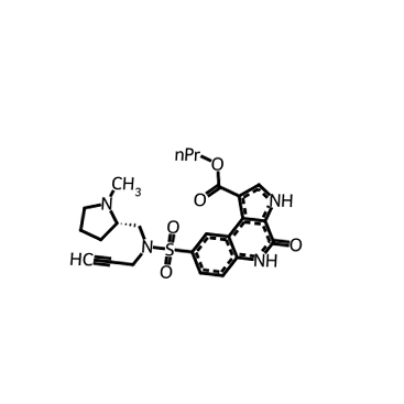 C#CCN(C[C@@H]1CCCN1C)S(=O)(=O)c1ccc2[nH]c(=O)c3[nH]cc(C(=O)OCCC)c3c2c1